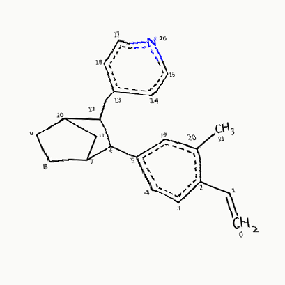 C=Cc1ccc(C2C3CCC(C3)C2c2ccncc2)cc1C